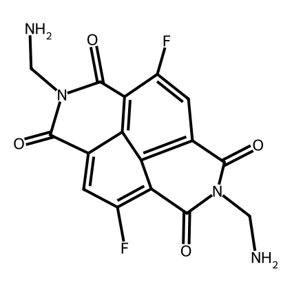 NCN1C(=O)c2cc(F)c3c4c(cc(F)c(c24)C1=O)C(=O)N(CN)C3=O